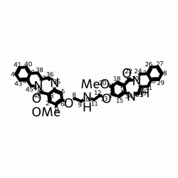 COc1cc2c(cc1OCCNCCOc1cc3c(cc1OC)C(=O)N1Cc4ccccc4C[C@H]1C=N3)N=CC1Cc3ccccc3CN1C2=O